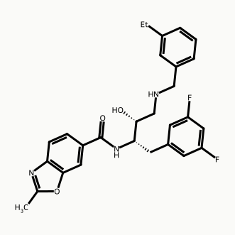 CCc1cccc(CNC[C@@H](O)[C@H](Cc2cc(F)cc(F)c2)NC(=O)c2ccc3nc(C)oc3c2)c1